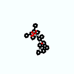 c1ccc(-c2ccc(-c3ccccc3N(c3ccccc3-c3ccc(-c4ccccc4)cc3)c3ccc(-c4ccc5c(c4)C4(c6ccccc6-5)c5ccccc5-n5c6ccccc6c6cccc4c65)c4ccccc34)cc2)cc1